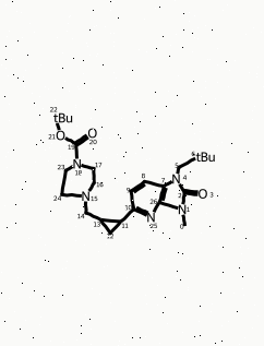 Cn1c(=O)n(CC(C)(C)C)c2ccc(C3CC3CN3CCN(C(=O)OC(C)(C)C)CC3)nc21